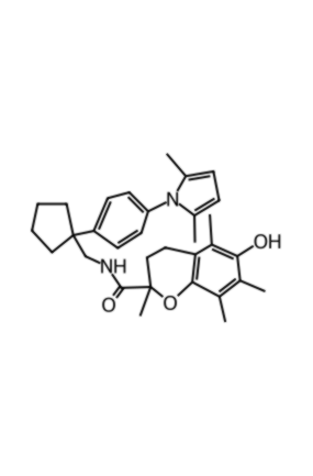 Cc1c(C)c2c(c(C)c1O)CCC(C)(C(=O)NCC1(c3ccc(-n4c(C)ccc4C)cc3)CCCC1)O2